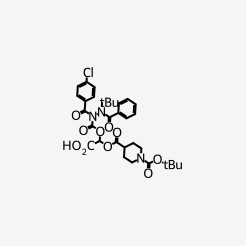 CC(C)(C)OC(=O)N1CCC(C(=O)OC(OC(=O)N(C(=O)c2ccc(Cl)cc2)N(C(=O)c2ccccc2)C(C)(C)C)C(=O)O)CC1